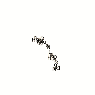 CC1(C)[C@H](NC(=O)c2ccc(CCCCN3CC=C(c4ccc5c(c4)C(=O)N(C4CCC(=O)NC4=O)C5=O)CC3)nc2)C(C)(C)[C@H]1Oc1ccc(C#N)c(Cl)c1